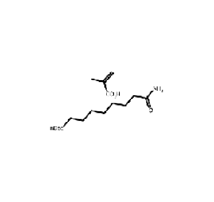 C=C(C)C(=O)O.CCCCCCCCCCCCCCCCCC(N)=O